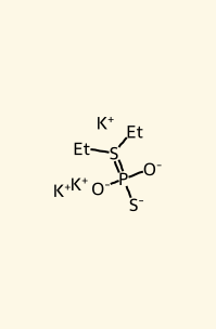 CCS(CC)=P([O-])([O-])[S-].[K+].[K+].[K+]